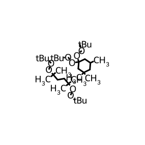 CC(C)(C)OOC(C)(C)CCC(C)(C)OOC(C)(C)C.CC1CC(C)(C)CC(OOC(C)(C)C)(OOC(C)(C)C)C1